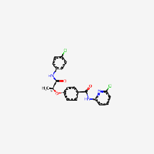 C[C@H](Oc1ccc(C(=O)Nc2cccc(Cl)n2)cc1)C(=O)Nc1ccc(Cl)cc1